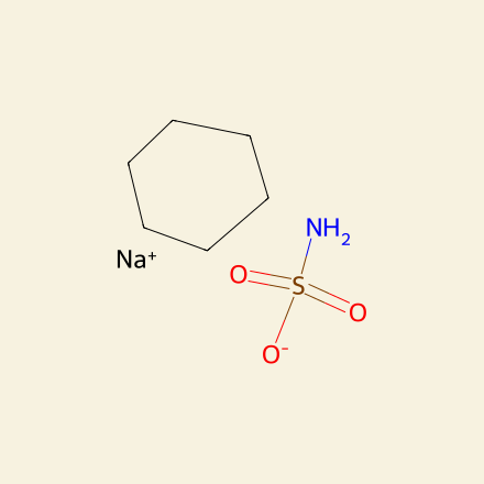 C1CCCCC1.NS(=O)(=O)[O-].[Na+]